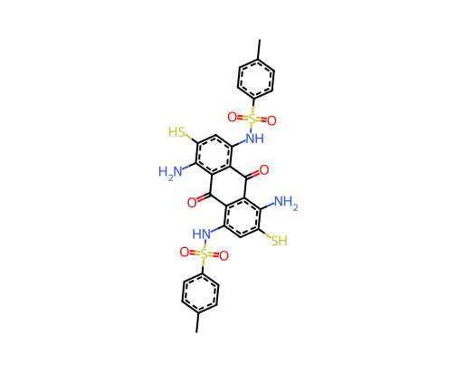 Cc1ccc(S(=O)(=O)Nc2cc(S)c(N)c3c2C(=O)c2c(N)c(S)cc(NS(=O)(=O)c4ccc(C)cc4)c2C3=O)cc1